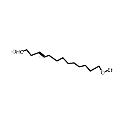 CCOCCCCCCCCC/C=C/CC[C]=O